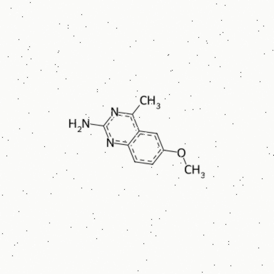 COc1ccc2nc(N)nc(C)c2c1